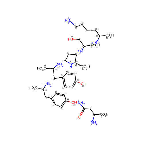 NC(=O)CC(N)C(=O)O.NC(CO)C(=O)O.NC(Cc1ccc(O)cc1)C(=O)O.NC(Cc1ccc(O)cc1)C(=O)O.NCCCCC(N)C(=O)O.O=C(O)[C@@H]1CCCN1